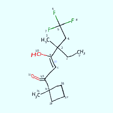 CCC(C)(CC(F)(F)F)/C(O)=C/C(=O)C1(C)CCC1